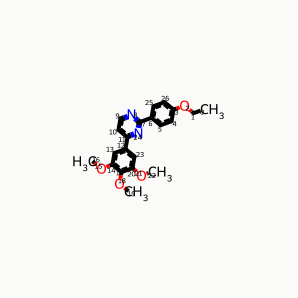 CCOc1ccc(-c2nccc(-c3cc(OC)c(OC)c(OC)c3)n2)cc1